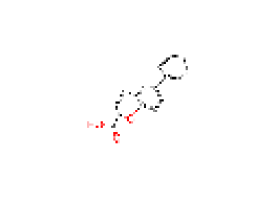 O=C(O)C1C=Cc2cc(C3=CCCC=C3)ccc2O1